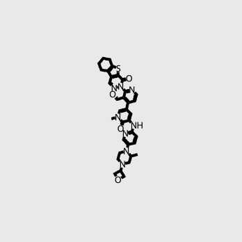 CC1CN(C2COC2)CCN1c1ccc(Nc2cc(-c3ccnc(-n4ncc5c6c(sc5c4=O)CCCC6)c3C=O)cn(C)c2=O)nc1